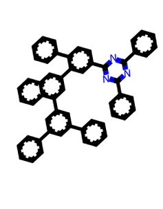 c1ccc(-c2cc(-c3ccccc3)cc(-c3cc(-c4cc(-c5nc(-c6ccccc6)nc(-c6ccccc6)n5)ccc4-c4ccccc4)cc4ccccc34)c2)cc1